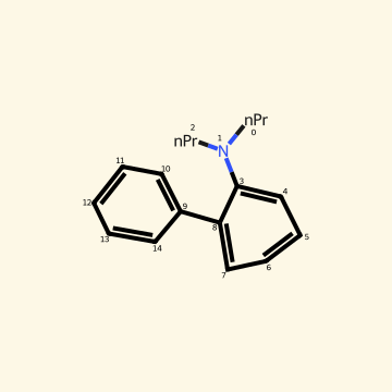 CCCN(CCC)c1ccccc1-c1ccccc1